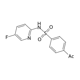 CC(=O)c1ccc(S(=O)(=O)Nc2ccc(F)cn2)cc1